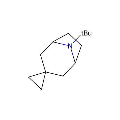 CC(C)(C)N1C2CCC1CC1(CC1)C2